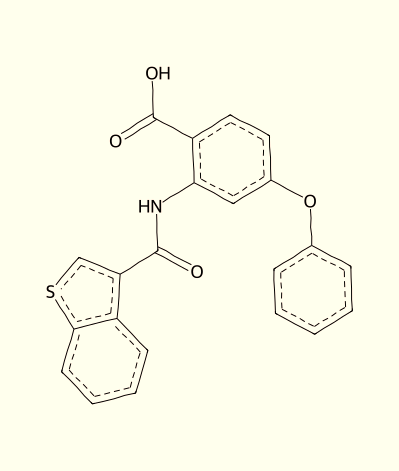 O=C(O)c1ccc(Oc2ccccc2)cc1NC(=O)c1csc2ccccc12